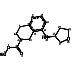 CC(C)(C)OC(=O)N1CCc2nccc(N[C@H]3CCOC3)c2C1